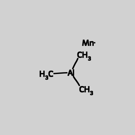 [CH3][Al]([CH3])[CH3].[Mn]